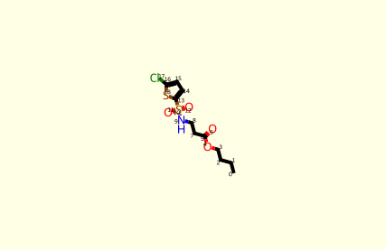 CCCCOC(=O)CCNS(=O)(=O)c1ccc(Cl)s1